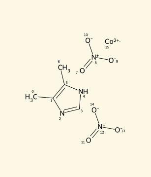 Cc1nc[nH]c1C.O=[N+]([O-])[O-].O=[N+]([O-])[O-].[Co+2]